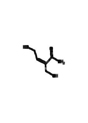 NC(=O)/C(=C\CO)CO